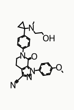 COc1ccc(-n2nc(C#N)c3c2C(=O)N(c2ccc(C4(N(C)CCO)CC4)cc2)CC3)cc1